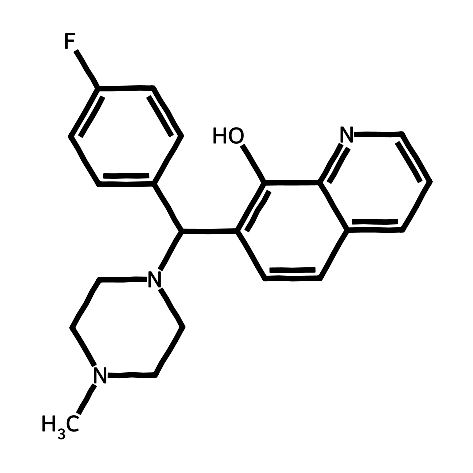 CN1CCN(C(c2ccc(F)cc2)c2ccc3cccnc3c2O)CC1